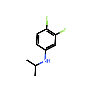 CC(C)Nc1ccc(F)c(F)c1